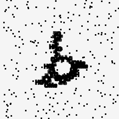 CO[C@H]1C[C@@H](C)C/C(C)=C/[C@@H](CCCC(=O)NCCN2CCOCC2)C(=O)C[C@H](O)[C@@H](C)[C@@H](/C(C)=C/[C@@H]2CC[C@@H](O)[C@H](OC)C2)OC(=O)[C@@H]2CCCCN2C(=O)C(=O)[C@]2(O)O[C@H]1[C@@H](OC)C[C@H]2C